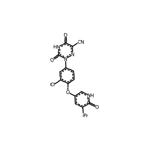 CC(C)c1cc(Oc2ccc(-n3nc(C#N)c(=O)[nH]c3=O)cc2Cl)c[nH]c1=O